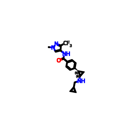 Cn1cc(NC(=O)c2ccc([C@@H]3C[C@H]3NCC3CC3)cc2)c(C(F)(F)F)n1